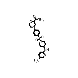 NC(=O)C1CN(c2ccc(S(=O)(=O)N3CCC(Nc4ccc(C(F)(F)F)cn4)CC3)cc2)CCO1